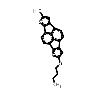 CCCCOc1cc2c(s1)-c1ccc3c4c(ccc-2c14)-c1cc(C)sc1-3